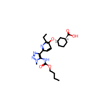 CCCCOC(=O)Nc1c(-c2ccc(O[C@H]3CCC[C@H](C(=O)O)C3)c(CC)n2)nnn1C